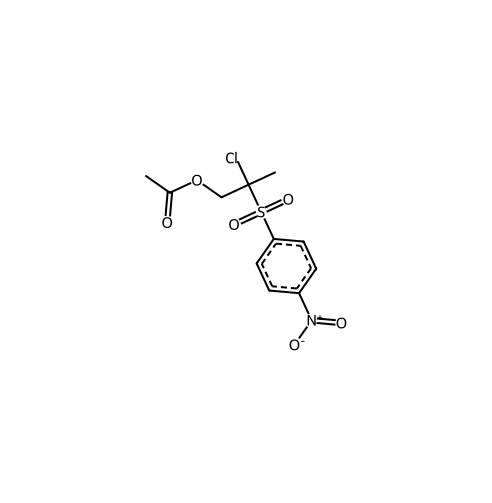 CC(=O)OCC(C)(Cl)S(=O)(=O)c1ccc([N+](=O)[O-])cc1